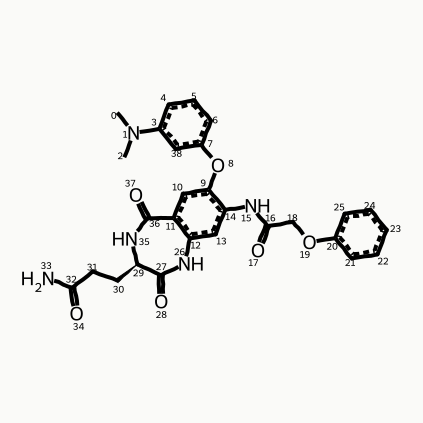 CN(C)c1cccc(Oc2cc3c(cc2NC(=O)COc2ccccc2)NC(=O)[C@@H](CCC(N)=O)NC3=O)c1